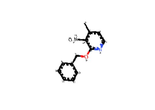 Cc1ccnc(OCc2ccccc2)c1[N+](=O)[O-]